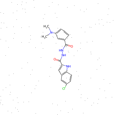 CN(C)c1cccc(C(=O)NNC(=O)c2cc3cc(Cl)ccc3[nH]2)c1